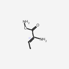 C/C=C(\N)C(=O)ON